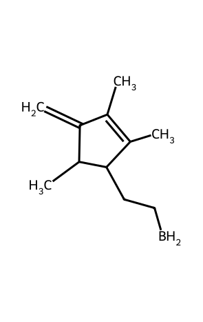 BCCC1C(C)=C(C)C(=C)C1C